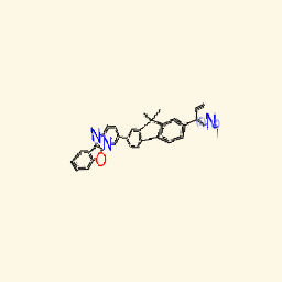 C=C/C(=C\N=C/C)c1ccc2c(c1)C(C)(C)c1cc(-c3ccc4nc5c6ccccc6oc5n4c3)ccc1-2